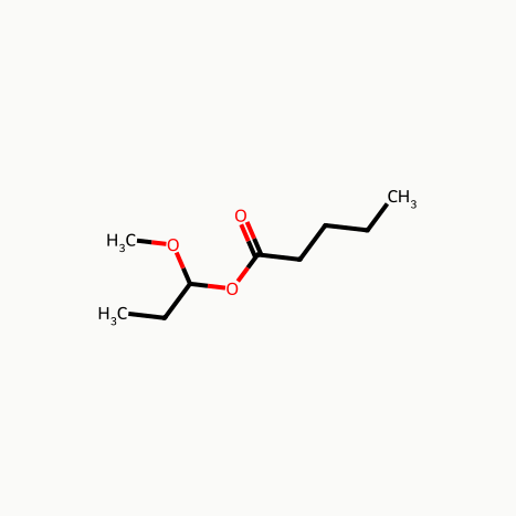 CCCCC(=O)OC(CC)OC